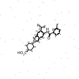 Cc1cccc(C(=O)Nc2cc3cn(C4CCC(C(=O)O)CC4)nc3cc2C(F)F)n1